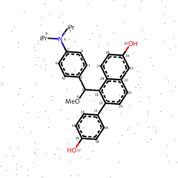 COC(c1ccc(N(C(C)C)C(C)C)cc1)c1c(-c2ccc(O)cc2)ccc2cc(O)ccc12